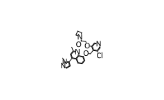 Cc1cc(-c2ccnn2C)c2cccc(OCc3c(Cl)cncc3OCC(=O)N3CCC3)c2n1